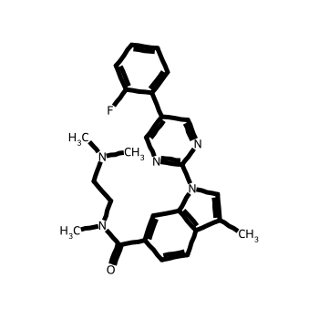 Cc1cn(-c2ncc(-c3ccccc3F)cn2)c2cc(C(=O)N(C)CCN(C)C)ccc12